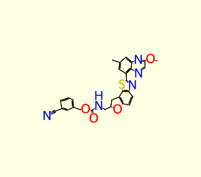 COc1cnc2c(-c3nc4ccc5c(c4s3)CC(CNC(=O)OCc3cccc(C#N)c3)O5)cc(C)cc2n1